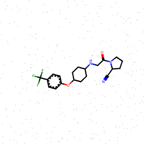 N#CC1CCCN1C(=O)CNC1CCC(Oc2ccc(C(F)(F)F)cc2)CC1